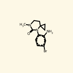 CN1CCC2(CC2)N(c2ccc(Br)cc2N)C1=O